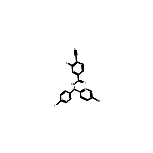 N#Cc1ccc(C(=O)N[C@@H](c2ccc(Cl)cc2)c2ccc(Br)cn2)cc1F